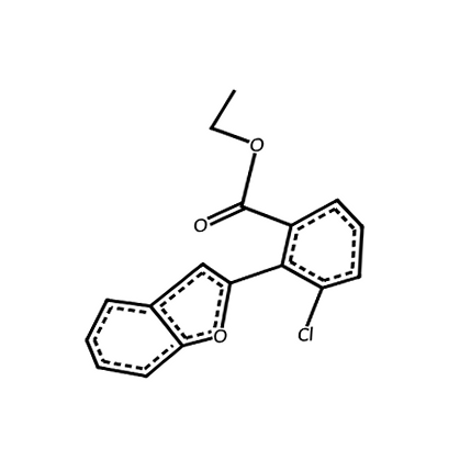 CCOC(=O)c1cccc(Cl)c1-c1cc2ccccc2o1